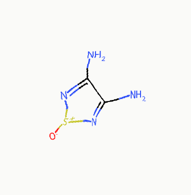 Nc1n[s+]([O-])nc1N